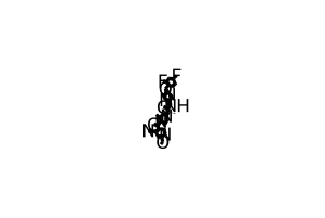 COc1cc(C#N)c(C(=O)N2CCN([C@@H](C)C(=O)Nc3cnc(Oc4ccc(F)cc4F)cn3)CC2(C)C)cn1